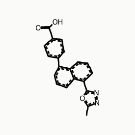 Cc1nnc(-c2cccc3c(-c4ccc(C(=O)O)cc4)cccc23)o1